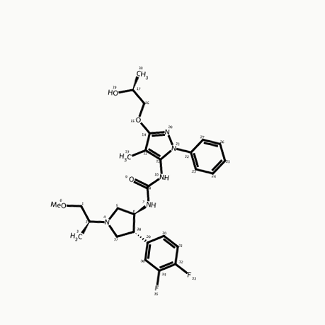 COC[C@H](C)N1C[C@@H](NC(=O)Nc2c(C)c(OC[C@H](C)O)nn2-c2ccccc2)[C@H](c2ccc(F)c(F)c2)C1